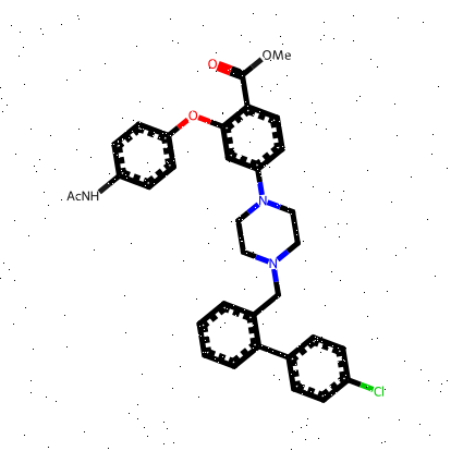 COC(=O)c1ccc(N2CCN(Cc3ccccc3-c3ccc(Cl)cc3)CC2)cc1Oc1ccc(NC(C)=O)cc1